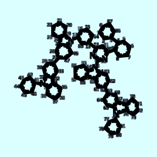 c1ccc(-c2ccccc2-c2cc(-c3cccc(-n4c5ccccc5c5cc(-c6ccc7c(c6)c6ccccc6n7-c6ccccc6)ccc54)c3)nc(-n3c4ccccc4c4cc(-c5ccc6c(c5)c5ccccc5n6-c5ccccc5)ccc43)n2)cc1